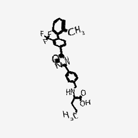 CCCC(NCc1ccc(-c2noc(C3=CCC(C4CC=CC=C4C)C(C(F)(F)F)=C3)n2)cc1)C(=O)O